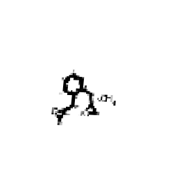 C.c1ccc(CC2CO2)c(CC2CO2)c1